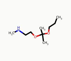 CCCOC(C)(C)OCCNC